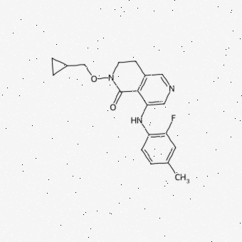 Cc1ccc(Nc2cncc3c2C(=O)N(OCC2CC2)CC3)c(F)c1